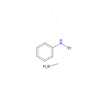 CCNc1ccccc1.C[SiH3]